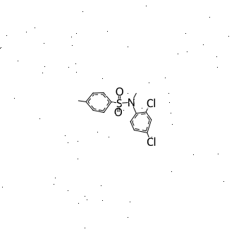 Cc1ccc(S(=O)(=O)N(C)c2ccc(Cl)cc2Cl)cc1